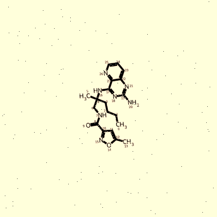 CCCCC(C)(CNC(=O)c1cc(C)on1)Nc1nc(N)nc2cccnc12